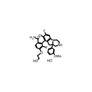 COc1cccc(C23CNCCN2c2cc(F)c(Cl)c(-c4c(C(N)=O)ccc(OCCO)c4F)c2C3)c1.Cl